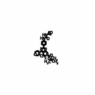 C[C@H]1COCCN1c1nc(-c2ccc(NC(=O)NC3COC3)cc2)nc2c1CCN(C(=O)OC(C)(C)C)C2